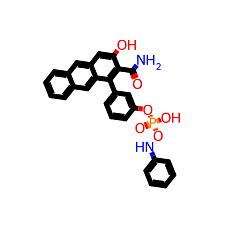 NC(=O)c1c(O)cc2cc3ccccc3cc2c1-c1cccc(OP(=O)(O)ONc2ccccc2)c1